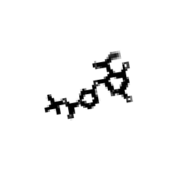 CC(C)(C)OC(=O)N1CC[C@H](Oc2nc(Cl)cc(Cl)c2C(=O)O)C1